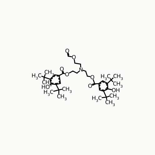 CC(C)(C)c1cc(C(=O)OCCN(CCOC=O)CCOC(=O)c2cc(C(C)(C)C)c(O)c(C(C)(C)C)c2)cc(C(C)(C)C)c1O